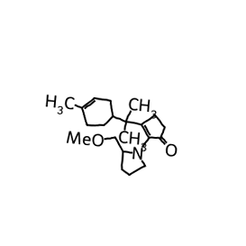 COCC1CCCN1C1=C(C(C)(C)C2CC=C(C)CC2)CCC1=O